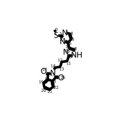 CSc1nccc(-c2c[nH]c(CCCCN3C(=O)c4ccccc4C3=O)n2)n1